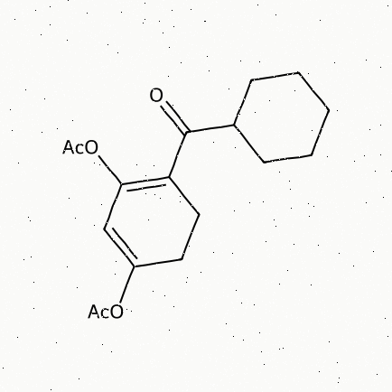 CC(=O)OC1=CC(OC(C)=O)=C(C(=O)C2CCCCC2)CC1